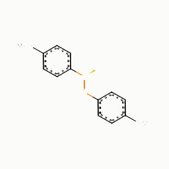 COc1ccc(P[P@](S)c2ccc(OC)cc2)cc1